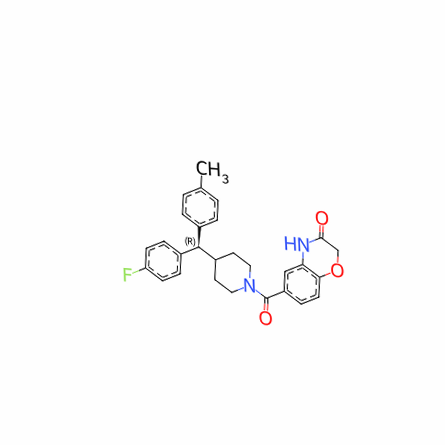 Cc1ccc([C@H](c2ccc(F)cc2)C2CCN(C(=O)c3ccc4c(c3)NC(=O)CO4)CC2)cc1